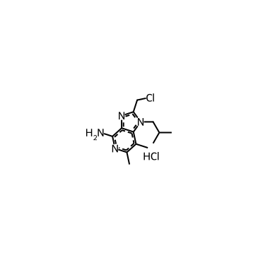 Cc1nc(N)c2nc(CCl)n(CC(C)C)c2c1C.Cl